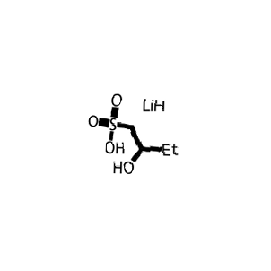 CCC(O)CS(=O)(=O)O.[LiH]